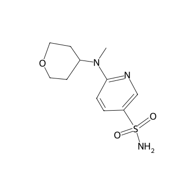 CN(c1ccc(S(N)(=O)=O)cn1)C1CCOCC1